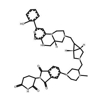 CN1CCN(c2ccc3c(c2)C(=O)N(C2CCC(=O)NC2=O)C3=O)CC1CN1C[C@@H]2C(CN3CCN4c5cc(-c6ccccc6O)nnc5NC[C@H]4C3)[C@@H]2C1